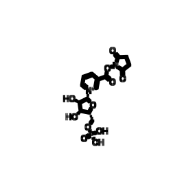 O=C(ON1C(=O)CCC1=O)c1ccc[n+]([C@@H]2O[C@H](COP(=O)(O)O)[C@@H](O)[C@H]2O)c1